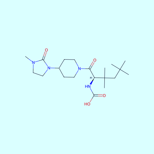 CN1CCN(C2CCN(C(=O)[C@H](NC(=O)O)C(C)(C)CC(C)(C)C)CC2)C1=O